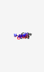 CC[C@H](C)C([C@@H](CC(=O)N1CCC[C@H]1[C@H](OC)[C@@H](C)C(=O)NCCc1ccc2ncccc2c1)OC)N(C)C(=O)[C@@H](NC(=O)[C@H](C(C)C)N(C)C)C(C)C